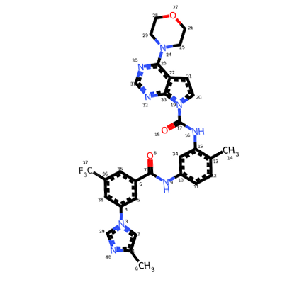 Cc1cn(-c2cc(C(=O)Nc3ccc(C)c(NC(=O)n4ccc5c(N6CCOCC6)ncnc54)c3)cc(C(F)(F)F)c2)cn1